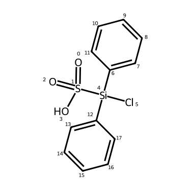 O=S(=O)(O)[Si](Cl)(c1ccccc1)c1ccccc1